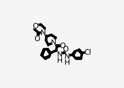 O=C(Nc1ccc(Cl)cc1)N[C@@H](C(=O)N1CCC(N2CCOCC2=O)CC1)c1ccccc1